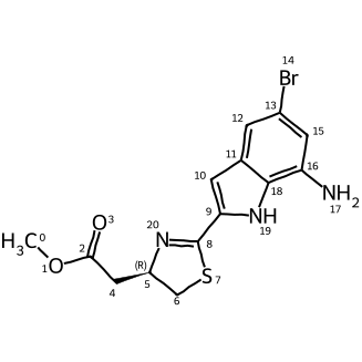 COC(=O)C[C@@H]1CSC(c2cc3cc(Br)cc(N)c3[nH]2)=N1